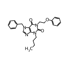 CCCCn1c(=O)n(CCOc2ccccc2)c(=O)c2c1ncn2Cc1ccccc1